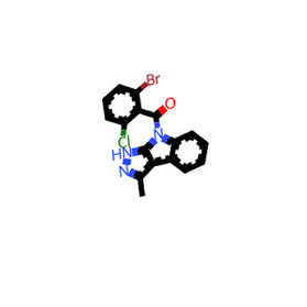 Cc1n[nH]c2c1c1ccccc1n2C(=O)c1c(Cl)cccc1Br